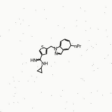 CCCC1C=CC=c2c(cnn2Cc2cc(C(=N)NC3CC3)cs2)=C1